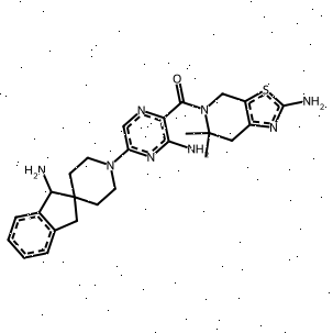 CC1(C)Cc2nc(N)sc2CN1C(=O)c1ncc(N2CCC3(CC2)Cc2ccccc2C3N)nc1N